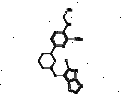 CNc1nc(C2CCCN(Sc3c(Cl)nc4sccn34)C2)ccc1NCC(C)(C)C